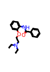 CCN(CC)CCOc1ccccc1NC(=O)c1ccccc1